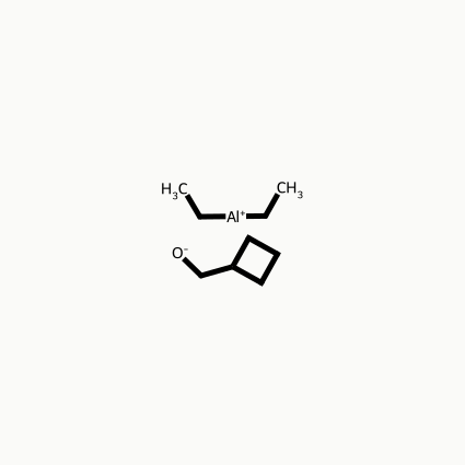 C[CH2][Al+][CH2]C.[O-]CC1CCC1